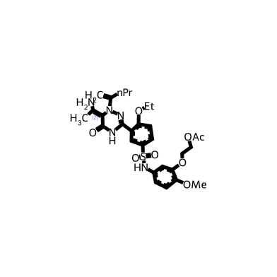 C=C(CCC)N1N=C(c2cc(S(=O)(=O)Nc3ccc(OC)c(OCCOC(C)=O)c3)ccc2OCC)NC(=O)/C1=C(\C)N